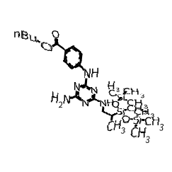 CCCCOC(=O)c1ccc(Nc2nc(N)nc(NCC(C)[Si](C)(O[Si](C)(C)C)O[Si](C)(C)C)n2)cc1